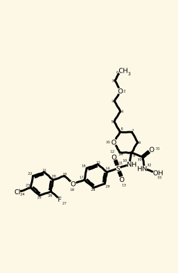 CCOCCCC1CCC(NS(=O)(=O)c2ccc(OCc3ccc(Cl)cc3F)cc2)(C(=O)NO)CO1